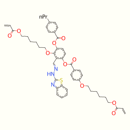 C=CC(=O)OCCCCCCOc1ccc(C(=O)Oc2ccc(OC(=O)c3ccc(CCC)cc3)c(OCCCCCCOC(=O)C=C)c2/C=N/Nc2nc3ccccc3s2)cc1